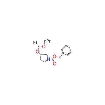 CCCOC(CC)OC1CCN(C(=O)OCc2ccccc2)C1